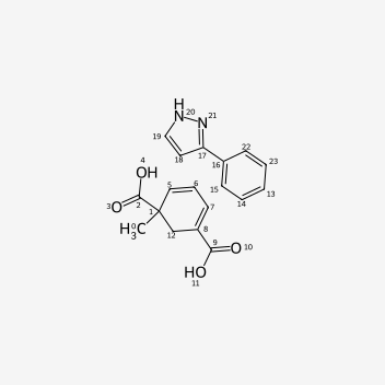 CC1(C(=O)O)C=CC=C(C(=O)O)C1.c1ccc(-c2cc[nH]n2)cc1